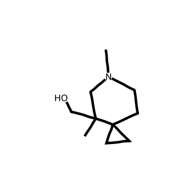 CN1CCC2(CC2)C(C)(CO)C1